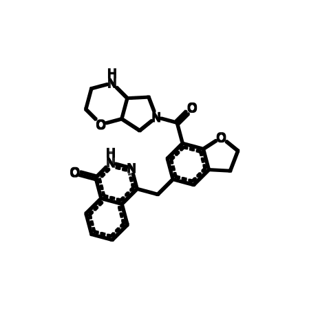 O=C(c1cc(Cc2n[nH]c(=O)c3ccccc23)cc2c1OCC2)N1CC2NCCOC2C1